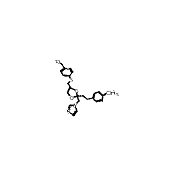 Cc1ccc(CCC2(Cn3ccnc3)OCC(CSc3ccc(Cl)cc3)O2)cc1